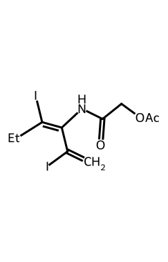 C=C(I)/C(NC(=O)COC(C)=O)=C(/I)CC